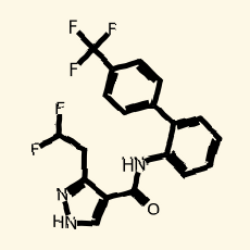 O=C(Nc1ccccc1-c1ccc(C(F)(F)F)cc1)c1c[nH]nc1CC(F)F